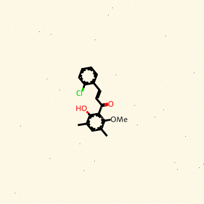 COc1c(C)cc(C)c(O)c1C(=O)/C=C/c1ccccc1Cl